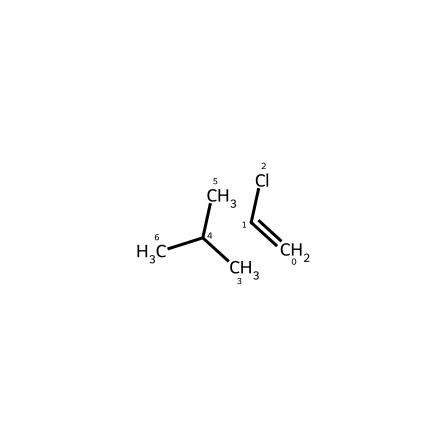 C=CCl.CC(C)C